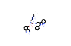 CC(=O)CCCCC[C@H](NC(=O)c1cccc2cnccc12)C(=O)NCCc1c(-c2ccccc2)[nH]c2ccccc12